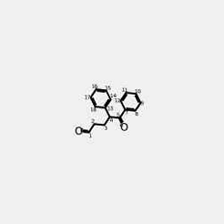 O=CCCC(C(=O)c1ccccc1)c1ccccc1